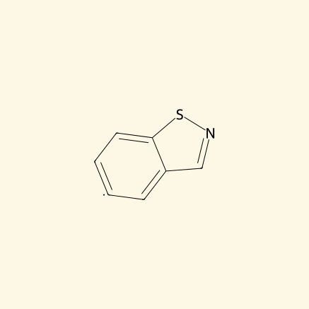 [c]1ccc2sncc2c1